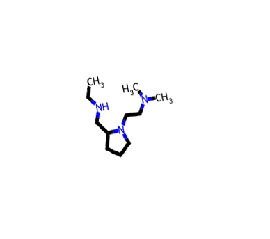 CCNCC1CCCN1CCN(C)C